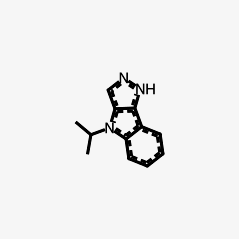 CC(C)n1c2ccccc2c2[nH]ncc21